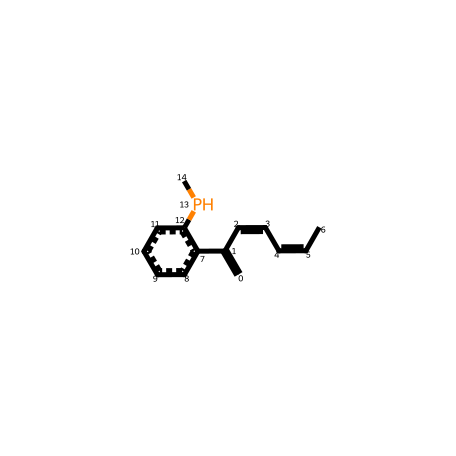 C=C(/C=C\C=C/C)c1ccccc1PC